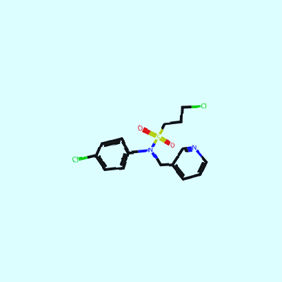 O=S(=O)(CCCCl)N(Cc1cccnc1)c1ccc(Cl)cc1